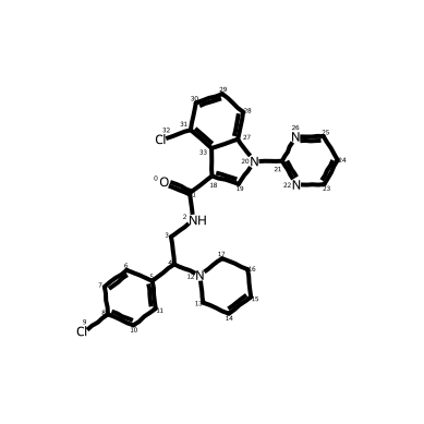 O=C(NCC(c1ccc(Cl)cc1)N1CC=CCC1)c1cn(-c2ncccn2)c2cccc(Cl)c12